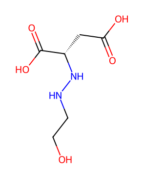 O=C(O)C[C@H](NNCCO)C(=O)O